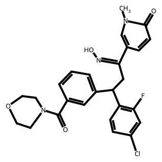 Cn1cc(C(CC(c2cccc(C(=O)N3CCOCC3)c2)c2ccc(Cl)cc2F)=NO)ccc1=O